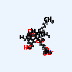 CCCCCCC(C)(C)c1cc(OC(=O)CCCO[N+](=O)[O-])c2c(c1)OC(C)(CO)C1CCC(CO)CC21